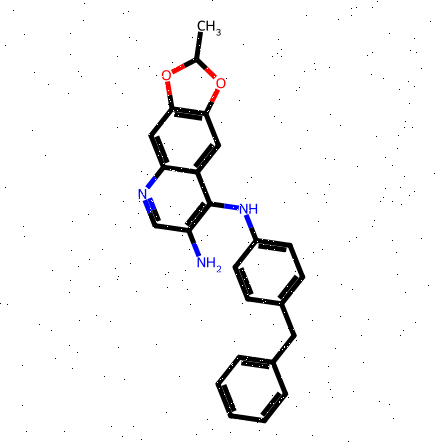 CC1Oc2cc3ncc(N)c(Nc4ccc(Cc5ccccc5)cc4)c3cc2O1